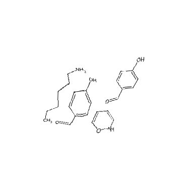 C1=CNOC=C1.CCCCCCN.O=Cc1ccc(O)cc1.O=Cc1ccc(O)cc1